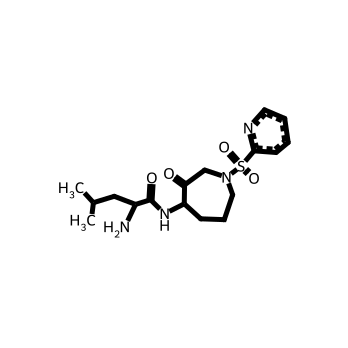 CC(C)CC(N)C(=O)NC1CCCN(S(=O)(=O)c2ccccn2)CC1=O